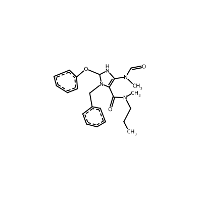 CCCN(C)C(=O)C1=C(N(C)C=O)NC(Oc2ccccc2)N1Cc1ccccc1